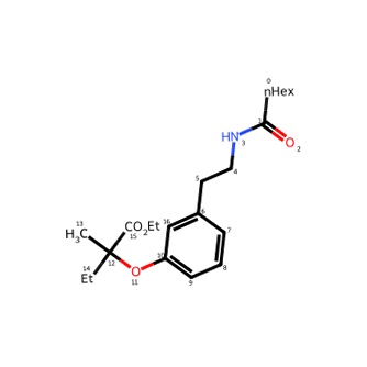 CCCCCCC(=O)NCCc1cccc(OC(C)(CC)C(=O)OCC)c1